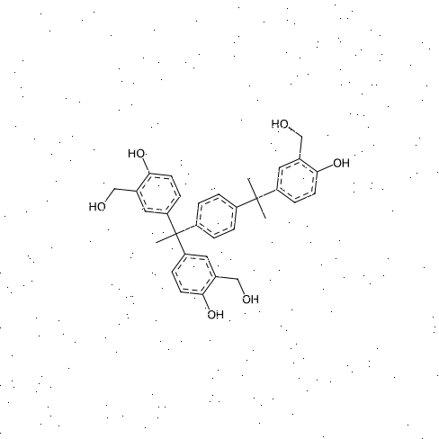 CC(C)(c1ccc(C(C)(c2ccc(O)c(CO)c2)c2ccc(O)c(CO)c2)cc1)c1ccc(O)c(CO)c1